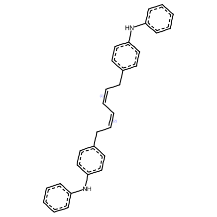 C(/C=C\Cc1ccc(Nc2ccccc2)cc1)=C/Cc1ccc(Nc2ccccc2)cc1